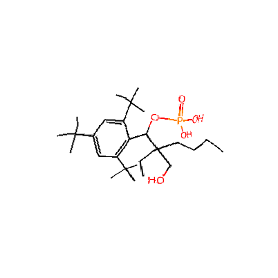 CCCCC(CC)(CO)C(OP(=O)(O)O)c1c(C(C)(C)C)cc(C(C)(C)C)cc1C(C)(C)C